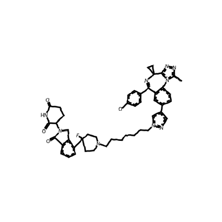 Cc1nnc2n1-c1ccc(-c3cnn(CCCCCCCN4CCC(F)(c5cccc6c5CN(C5CCC(=O)NC5=O)C6=O)CC4)c3)cc1C(c1ccc(Cl)cc1)=NC21CC1